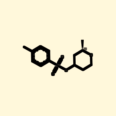 Cc1ccc(S(=O)(=O)OC2CCO[C@@H](C)C2)cc1